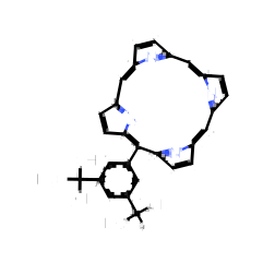 CC(C)(C)c1cc(C2=C3C=CC(=N3)C=C3C=CC(=N3)C=C3C=CC(=N3)C=C3C=CC2=N3)cc(C(C)(C)C)c1